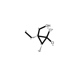 CC[C@@]1(CO)[C@@H](C)C1(Cl)Cl